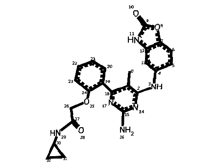 Cc1c(Nc2ccc3oc(=O)[nH]c3c2)nc(N)nc1-c1ccccc1OCC(=O)NC1CC1